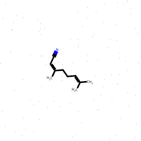 CC(C)=CCC/C(C)=C\C#N